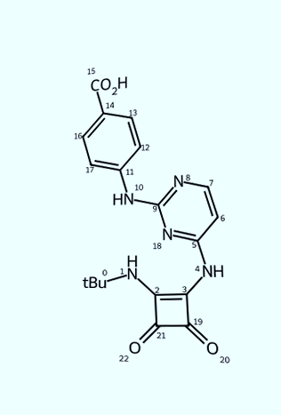 CC(C)(C)Nc1c(Nc2ccnc(Nc3ccc(C(=O)O)cc3)n2)c(=O)c1=O